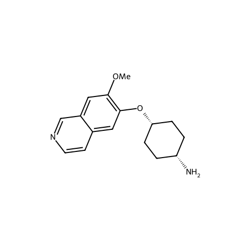 COc1cc2cnccc2cc1O[C@H]1CC[C@@H](N)CC1